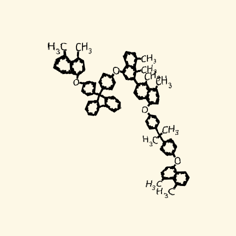 Cc1cccc2c(Oc3ccc(C(C)(C)c4ccc(Oc5ccc(C)c6c(C)c(-c7cc(Oc8ccc(C9(c%10ccc(Oc%11ccc(C)c%12c(C)cccc%11%12)cc%10)c%10ccccc%10-c%10ccccc%109)cc8)c8cccc(C)c8c7C)ccc56)cc4)cc3)ccc(C)c12